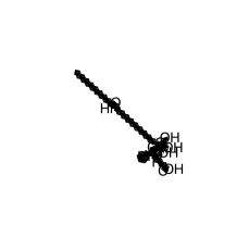 CCCCCCCCCCCCCCCCCC(=O)NCCCCCCCCCCCCCCCCCC[C@@H]1O[C@H](CO)[C@@H](O)[C@H](O)[C@H]1NC(=O)[C@H](Cc1ccccc1)NC(=O)CCCCC(=O)O